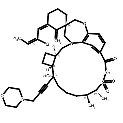 C=C1/C(=C\C(Cl)=C/C)CCC[C@]12COc1ccc3cc1N(C[C@@H]1CC[C@H]1[C@](O)(C#CCN1CCOCC1)CCC[C@H](C)[C@@H](C)S(=O)(=O)NC3=O)C2